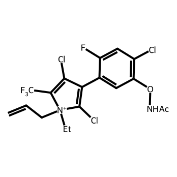 C=CC[N+]1(CC)C(Cl)=C(c2cc(ONC(C)=O)c(Cl)cc2F)C(Cl)=C1C(F)(F)F